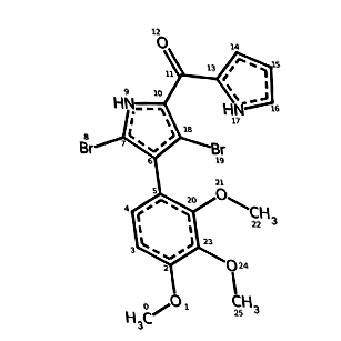 COc1ccc(-c2c(Br)[nH]c(C(=O)c3ccc[nH]3)c2Br)c(OC)c1OC